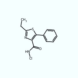 CCc1nc(C(=O)NCl)c(-c2ccccc2)s1